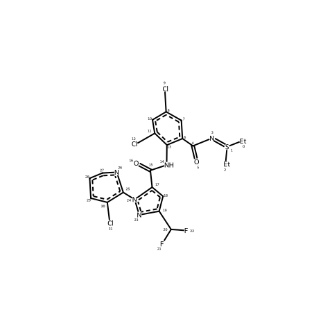 CCS(CC)=NC(=O)c1cc(Cl)cc(Cl)c1NC(=O)c1cc(C(F)F)nn1-c1ncccc1Cl